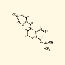 N#C/N=c1\c(OCC(O)C(F)(F)F)cccn1Cc1ccc(Cl)nc1